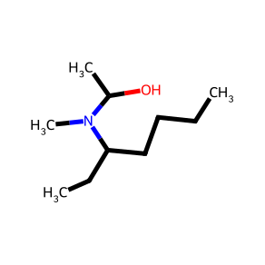 CCCCC(CC)N(C)C(C)O